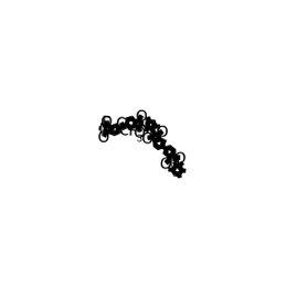 Cc1cc(C)c(N2C(=O)c3ccc(-c4ccc5c(c4)C(=O)N(c4c(C)cc(C)c(N6C(=O)c7ccc(C(c8ccc9c(c8)C(=O)N(C)C9=O)(C(F)(F)F)C(F)(F)F)cc7C6=O)c4C)C5=O)cc3C2=O)c(C)c1C